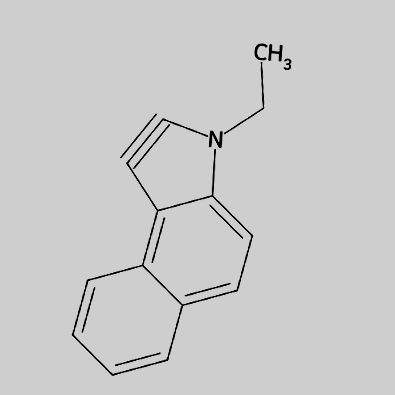 CCn1c#cc2c3ccccc3ccc21